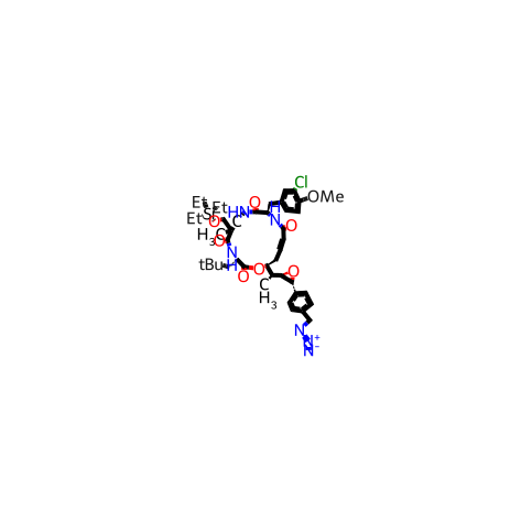 CC[Si](CC)(CC)OCC1(C)CNC(=O)[C@@H](Cc2ccc(OC)c(Cl)c2)NC(=O)C=CC[C@@H]([C@H](C)[C@H]2O[C@@H]2c2ccc(CN=[N+]=[N-])cc2)OC(=O)[C@H](CC(C)(C)C)NC1=O